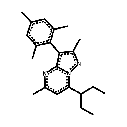 [CH2]CC(CC)c1cc(C)nc2c(-c3c(C)cc(C)cc3C)c(C)nn12